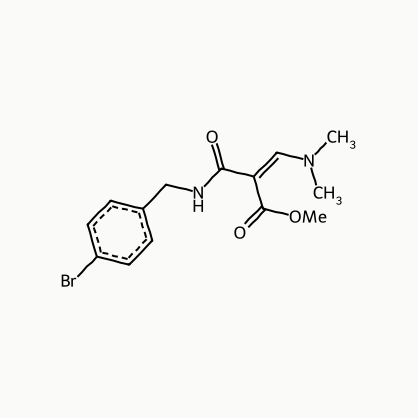 COC(=O)C(=CN(C)C)C(=O)NCc1ccc(Br)cc1